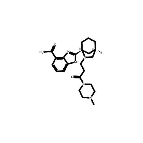 CN1CCN(C(=O)CCN2C[C@@H]3CCC[C@]2(c2nc4c(C(N)=O)cccc4[nH]2)C3)CC1